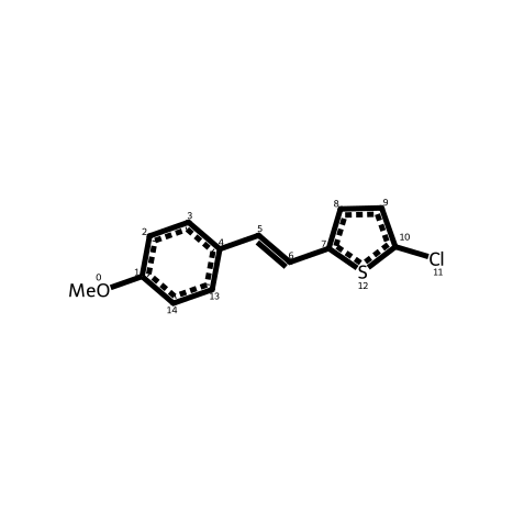 COc1ccc(C=Cc2ccc(Cl)s2)cc1